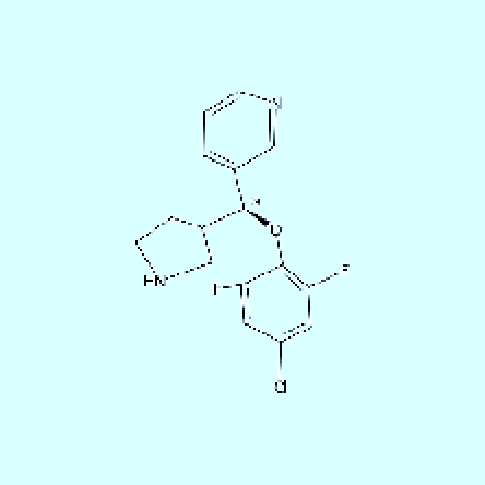 Fc1cc(Cl)cc(F)c1O[C@H](c1cccnc1)C1CCNC1